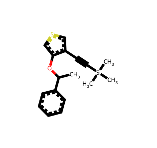 CC(Oc1cscc1C#C[Si](C)(C)C)c1ccccc1